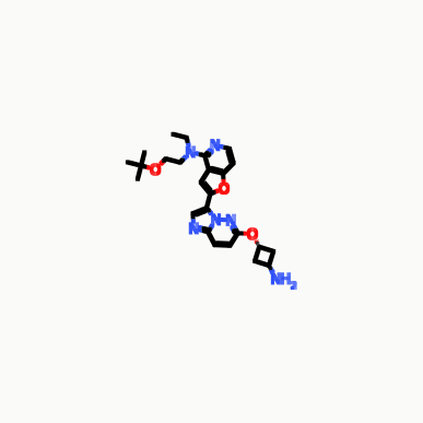 CCN(CCOC(C)(C)C)c1nccc2oc(-c3cnc4ccc(O[C@H]5C[C@H](N)C5)nn34)cc12